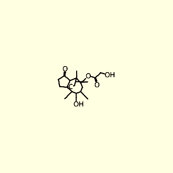 CC1CC(OC(=O)CO)C2(C)C(C)CCC3(CCC(=O)C32)C(C)C1O